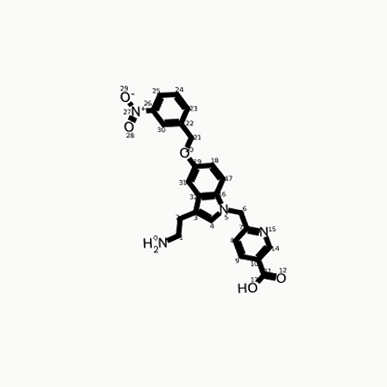 NCCc1cn(Cc2ccc(C(=O)O)cn2)c2ccc(OCc3cccc([N+](=O)[O-])c3)cc12